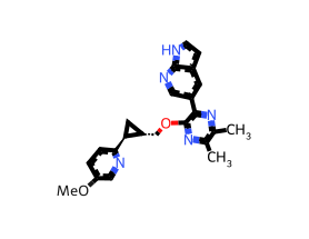 COc1ccc([C@H]2C[C@@H]2COc2nc(C)c(C)nc2-c2cnc3[nH]ccc3c2)nc1